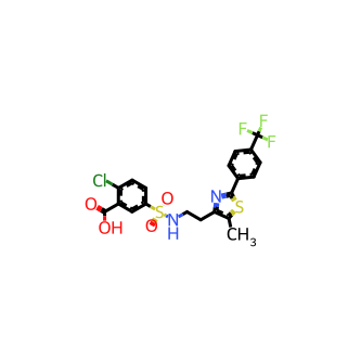 Cc1sc(-c2ccc(C(F)(F)F)cc2)nc1CCNS(=O)(=O)c1ccc(Cl)c(C(=O)O)c1